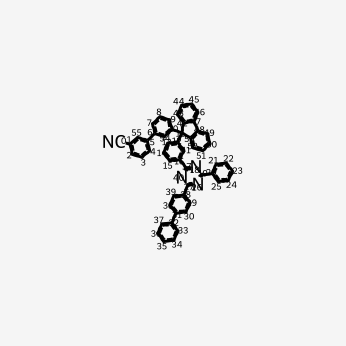 N#Cc1cccc(-c2cccc(C3(c4cccc(-c5nc(-c6ccccc6)nc(-c6ccc(-c7ccccc7)cc6)n5)c4)c4ccccc4-c4ccccc43)c2)c1